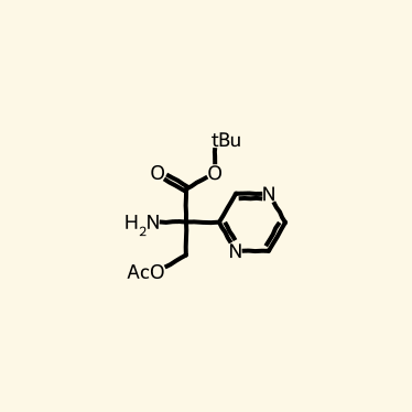 CC(=O)OCC(N)(C(=O)OC(C)(C)C)c1cnccn1